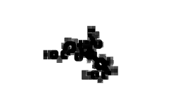 CCOC(=O)Nc1ccc(-c2cc(C(=O)N[C@H]3CCCN(C(=O)O)C3)c(NC(N)=O)s2)cc1F